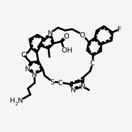 Cc1nn(CCCN)c2c1-c1c(Cl)ccc3c1c(C)c(C(=O)O)n3CCCOc1cc(cc3cc(F)ccc13)CCc1cc(nn1C)CSC2